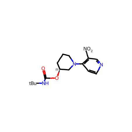 CC(C)(C)NC(=O)O[C@H]1CCCN(c2ccncc2[N+](=O)[O-])C1